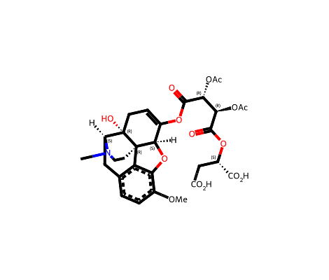 COc1ccc2c3c1O[C@@H]1C(OC(=O)[C@H](OC(C)=O)[C@@H](OC(C)=O)C(=O)O[C@@H](CC(=O)O)C(=O)O)=CC[C@]4(O)[C@H](C2)N(C)CC[C@@]314